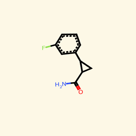 NC(=O)C1CC1c1cccc(F)c1